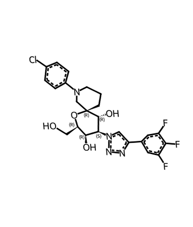 OC[C@H]1O[C@@]2(CCCN(c3ccc(Cl)cc3)C2)[C@H](O)[C@@H](n2cc(-c3cc(F)c(F)c(F)c3)nn2)[C@H]1O